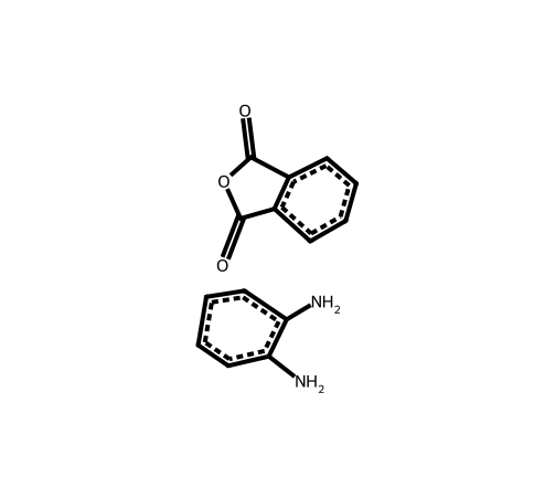 Nc1ccccc1N.O=C1OC(=O)c2ccccc21